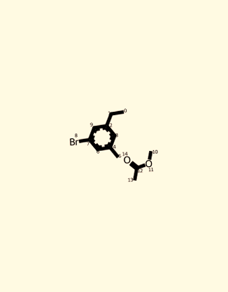 CCc1cc(C)cc(Br)c1.COC(C)=O